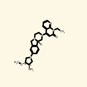 CCn1c(=O)cc(N2CCN3Cc4cc(N5C[C@@H](N)[C@H](OC)C5)ccc4[C@H]3C2)c2cccnc21